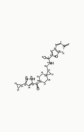 C=N/C=C\c1cc(C(=O)NCC2CC23CCN(C(=O)c2cc(C4CC4)n[nH]2)CC3)oc1C